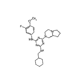 COc1ccc(Nc2nc(NCC3CCCCC3)nc(N3CCN4CCCC4C3)n2)cc1F